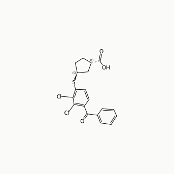 O=C(c1ccccc1)c1ccc(S[C@H]2CC[C@H](C(=O)O)C2)c(Cl)c1Cl